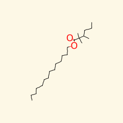 CCCCCCCCCCCCCCOC(=O)C(C)(C)C(C)CCC